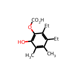 CCc1c(C)c(C)c(O)c(OC(=O)O)c1CC